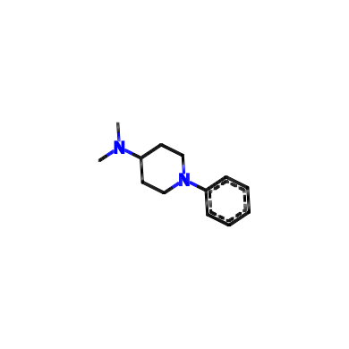 CN(C)C1CCN(c2ccccc2)CC1